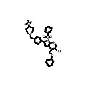 CS(=O)(=O)C1CCN(Cc2ccc(-c3cc4c(CNc5ccccc5)c(N)cnc4n3S(=O)(=O)c3ccccc3)cc2)CC1